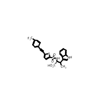 CC(c1c[nH]c2ccccc12)[C@H](NS(=O)(=O)c1ccc(C#Cc2ccc(C(F)(F)F)cc2)s1)C(=O)O